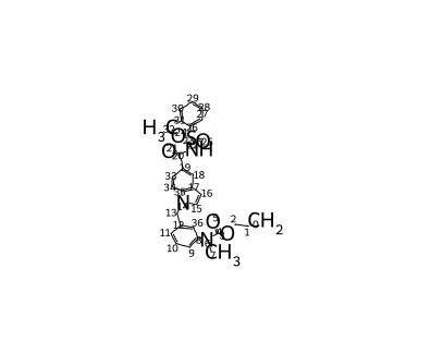 C=CCOC(=O)N(C)c1cccc(Cn2ccc3cc(C(=O)NS(=O)(=O)c4ccccc4C)ccc32)c1